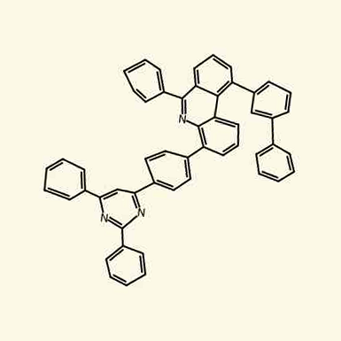 c1ccc(-c2cccc(-c3cccc4c(-c5ccccc5)nc5c(-c6ccc(-c7cc(-c8ccccc8)nc(-c8ccccc8)n7)cc6)cccc5c34)c2)cc1